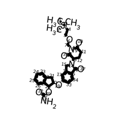 C[Si](C)(C)CCOCN1C(=O)CCC(N2Cc3cc(O[C@H]4Cc5ccccc5[C@@H]4OC(N)=O)ccc3C2=O)C1=O